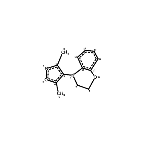 Cc1noc(C)c1N1CCOc2ccccc21